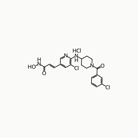 Cl.O=C(/C=C/c1cnc(NC2CCN(C(=O)c3cccc(Cl)c3)CC2)c(Cl)c1)NO